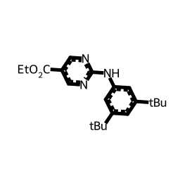 CCOC(=O)c1cnc(Nc2cc(C(C)(C)C)cc(C(C)(C)C)c2)nc1